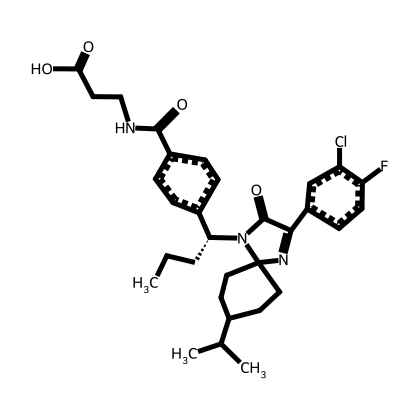 CCC[C@H](c1ccc(C(=O)NCCC(=O)O)cc1)N1C(=O)C(c2ccc(F)c(Cl)c2)=NC12CCC(C(C)C)CC2